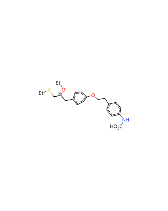 CCO[C@H](CSCC)Cc1ccc(OCCc2ccc(NC(=O)O)cc2)cc1